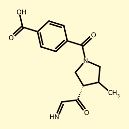 CC1CN(C(=O)c2ccc(C(=O)O)cc2)C[C@H]1C(=O)C=N